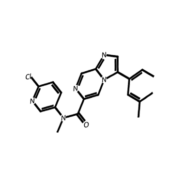 C/C=C(\C=C(C)C)c1cnc2cnc(C(=O)N(C)c3ccc(Cl)nc3)cn12